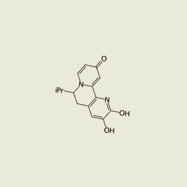 CC(C)C1Cc2cc(O)c(O)nc2-c2cc(=O)ccn21